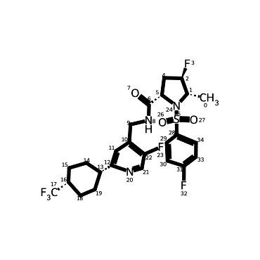 C[C@H]1[C@H](F)C[C@@H](C(=O)NCc2cc([C@H]3CC[C@@H](C(F)(F)F)CC3)ncc2F)N1S(=O)(=O)c1ccc(F)cc1